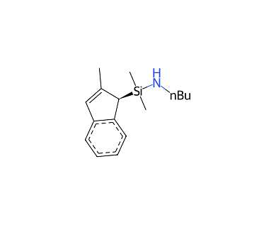 CCCCN[Si](C)(C)[C@@H]1C(C)=Cc2ccccc21